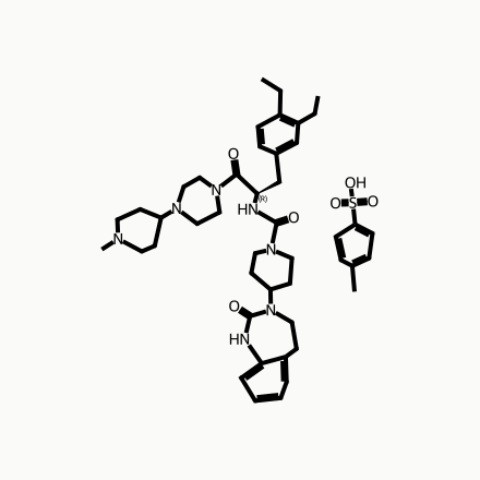 CCc1ccc(C[C@@H](NC(=O)N2CCC(N3CCc4ccccc4NC3=O)CC2)C(=O)N2CCN(C3CCN(C)CC3)CC2)cc1CC.Cc1ccc(S(=O)(=O)O)cc1